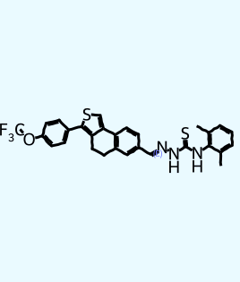 Cc1cccc(C)c1NC(=S)N/N=C/c1ccc2c(c1)CCc1c-2csc1-c1ccc(OC(F)(F)F)cc1